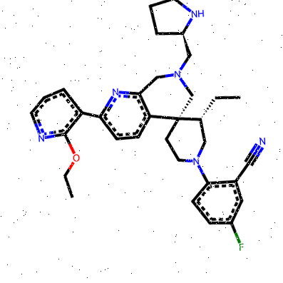 CCOc1ncccc1-c1ccc2c(n1)CN(C[C@H]1CCCN1)C[C@]21CCN(c2ccc(F)cc2C#N)C[C@H]1CC